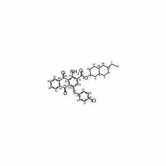 CCC1CCC2CC(OC(=O)c3cc(Sc4ccc(Cl)cc4)c4c(c3N)C(=O)c3ccccc3C4=O)CCC2C1